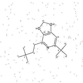 CC(C)(C)CCc1nc(C(C)(C)C)cc2c1OCO2